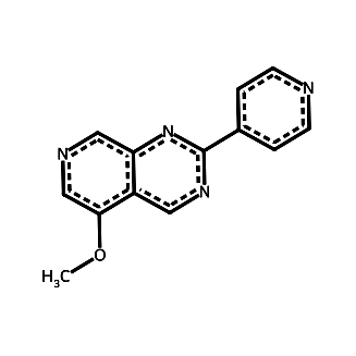 COc1cncc2nc(-c3ccncc3)ncc12